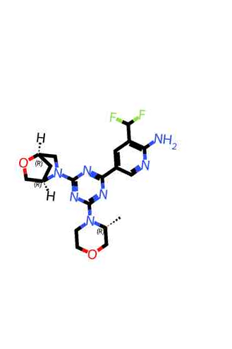 C[C@@H]1COCCN1c1nc(-c2cnc(N)c(C(F)F)c2)nc(N2C[C@H]3C[C@@H]2CO3)n1